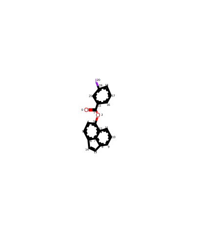 O=C(Oc1ccc2c3c(cccc13)C=C2)c1cccc(I)c1